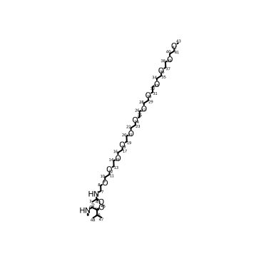 CN[C@H](CC(=O)NCCOCCOCCOCCOCCOCCOCCOCCOCCOCCOCCOCCOC)C(=O)C(C)C